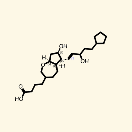 O=C(O)CCCC1CC[C@@H]2[C@@H](/C=C/C(O)CCC3CCCC3)[C@H](O)C[C@@H]2OC1